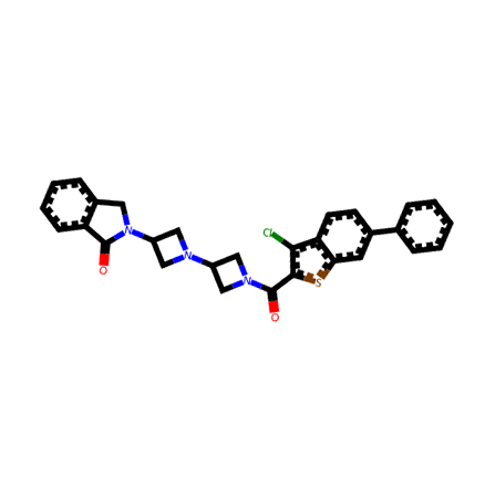 O=C(c1sc2cc(-c3ccccc3)ccc2c1Cl)N1CC(N2CC(N3Cc4ccccc4C3=O)C2)C1